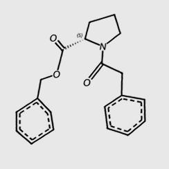 O=C(OCc1ccccc1)[C@@H]1CCCN1C(=O)Cc1ccccc1